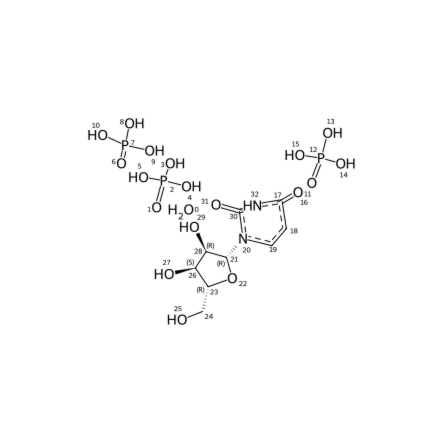 O.O=P(O)(O)O.O=P(O)(O)O.O=P(O)(O)O.O=c1ccn([C@@H]2O[C@H](CO)[C@@H](O)[C@H]2O)c(=O)[nH]1